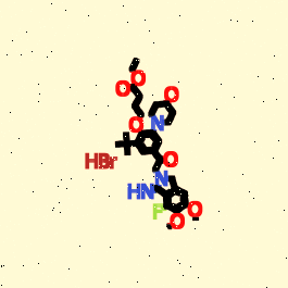 Br.CCOC(=O)CCCOc1c(N2CCC(=O)CC2)cc(C(=O)CN2Cc3cc(OC)c(OC)c(F)c3C2=N)cc1C(C)(C)C